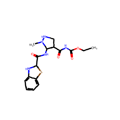 CCOC(=O)NC(=O)C1CNN(C)C1NC(=O)C1Nc2ccccc2S1